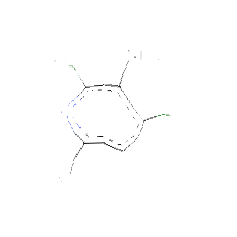 CC(=O)Nc1c(Cl)cc(C(C)=O)nc1Cl